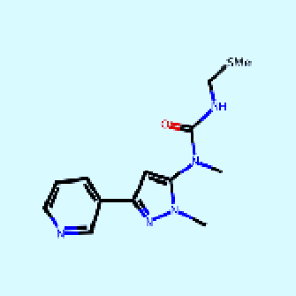 CSCNC(=O)N(C)c1cc(-c2cccnc2)nn1C